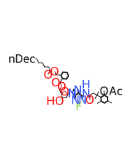 CCCCCCCCCCCCCCCC(=O)OCc1ccccc1C(=O)OC[C@@]1(C)O[C@@H](n2cnc3c(NC(=O)CC(C)(C)c4c(C)cc(C)cc4OC(C)=O)nc(F)nc32)C[C@@H]1O